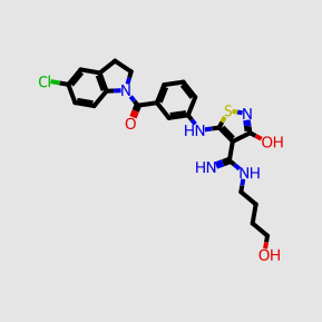 N=C(NCCCCO)c1c(O)nsc1Nc1cccc(C(=O)N2CCc3cc(Cl)ccc32)c1